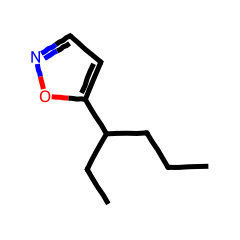 CCCC(CC)c1ccno1